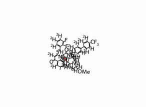 [2H]c1c([2H])c(F)c(F)c(CSc2c([2H])c(=O)c3c([2H])c(C)c([2H])c([2H])c3n2C([2H])([2H])C(=O)N(C([2H])([2H])c2c([2H])c([2H])c(-c3c([2H])c([2H])c(C(F)(F)F)c([2H])c3[2H])c([2H])c2[2H])C2([2H])C([2H])([2H])C([2H])([2H])N(C([2H])([2H])C([2H])([2H])OC)C([2H])([2H])C2([2H])[2H])c1[2H]